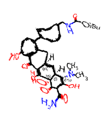 CC(C)COC(=O)NCc1ccc(-c2ccc(O)c3c2C[C@H]2C[C@H]4[C@H](N(C)C)C(O)=C(C(N)=O)C(=O)[C@@]4(O)C(O)=C2C3=O)cc1